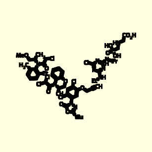 C#CCOc1cc(-n2nc(C(C)(C)C)oc2=O)c(Cl)cc1Cl.CC1COc2ccccc2N1C(=O)C(Cl)Cl.CCNc1nc(Cl)nc(NC(C)C)n1.CCc1cccc(C)c1N(C(=O)CCl)C(C)COC.O=C(O)CNCP(=O)(O)O